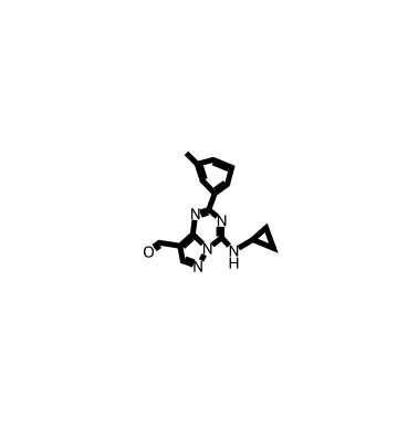 Cc1cccc(-c2nc(NC3CC3)n3ncc(C=O)c3n2)c1